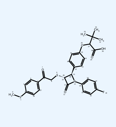 CSc1ccc(C(=O)CS[C@H]2C(=O)N(c3ccc(F)cc3)[C@@H]2c2ccc(OC(C(=O)O)C(C)(C)C)cc2)cc1